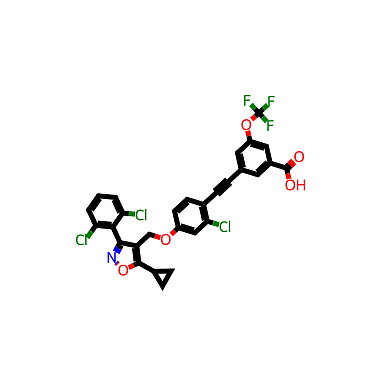 O=C(O)c1cc(C#Cc2ccc(OCc3c(-c4c(Cl)cccc4Cl)noc3C3CC3)cc2Cl)cc(OC(F)(F)F)c1